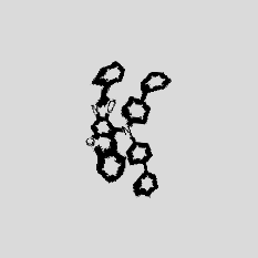 c1ccc(-c2ccc(N(c3ccc(-c4ccccc4)cc3)c3c4oc(-c5ccccc5)nc4cc4oc5ccccc5c34)cc2)cc1